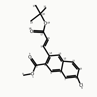 COC(=O)c1cc2cc(Cl)ccc2cc1C=CC(=O)OC(C)(C)C